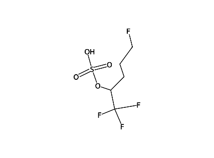 O=S(=O)(O)OC(CCCF)C(F)(F)F